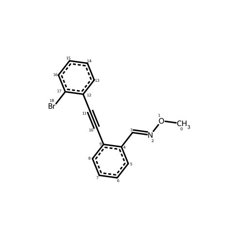 CO/N=C/c1ccccc1C#Cc1ccccc1Br